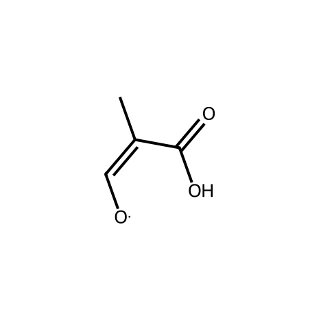 CC(=C[O])C(=O)O